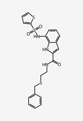 O=C(NCCSCc1ccccc1)c1cc2cccc(NS(=O)(=O)c3cccs3)c2[nH]1